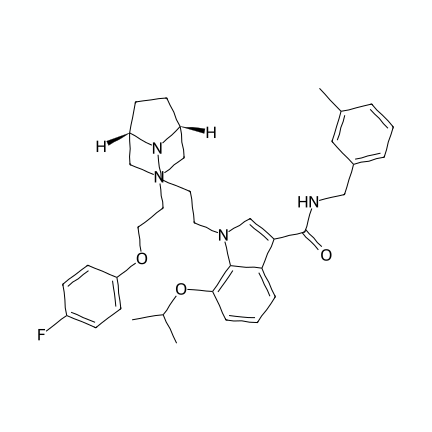 Cc1cccc(CNC(=O)c2cn(CCCN3[C@@H]4CC[C@H]3CN(CCOc3ccc(F)cc3)C4)c3c(OC(C)C)cccc23)c1